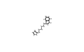 C1=CCC(CCCCCCC2C=Cc3ccccc32)=C1